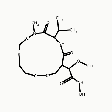 COC(C(=O)NO)C1CCCCCCCCN(C)C(=O)C(C(C)C)NC1=O